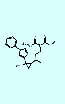 CC(CCN(C(=O)OC(C)(C)C)C(=O)OC(C)(C)C)C1CC1(C=O)c1cn(-c2ccccc2)cn1